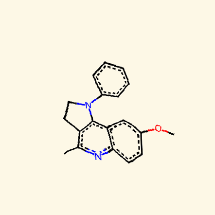 COc1ccc2nc(C)c3c(c2c1)N(c1ccccc1)CC3